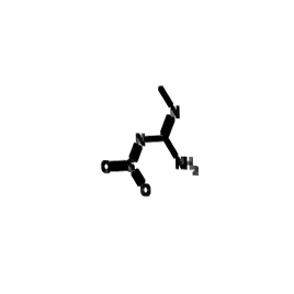 CN=C(N)N=S(=O)=O